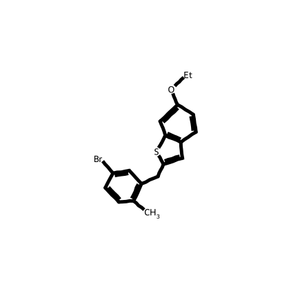 CCOc1ccc2cc(Cc3cc(Br)ccc3C)sc2c1